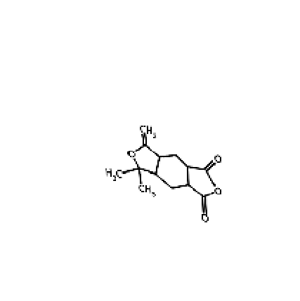 C=C1OC(C)(C)C2CC3C(=O)OC(=O)C3CC12